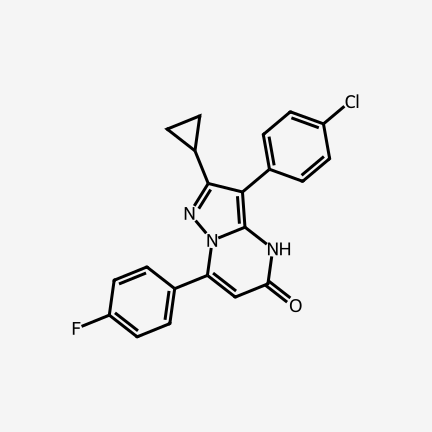 O=c1cc(-c2ccc(F)cc2)n2nc(C3CC3)c(-c3ccc(Cl)cc3)c2[nH]1